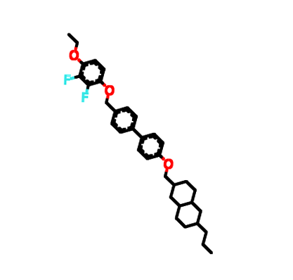 CCCC1CCC2CC(COc3ccc(-c4ccc(COc5ccc(OCC)c(F)c5F)cc4)cc3)CCC2C1